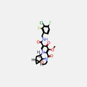 COc1c2n(cc(C(=O)NCc3ccc(F)c(Cl)c3F)c1=O)[C@@H]1C[C@@H]3C[C@@H]3[C@@]13OCCCN3C2=O